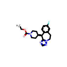 CCOC(=O)N1CCC(=C2c3ccc(F)cc3CCn3ncnc32)CC1